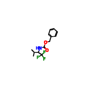 CC(C)C(NC(=O)OCc1ccccc1)C(F)(F)F